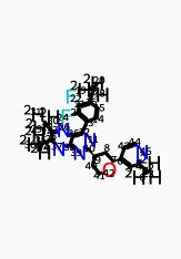 [2H]C([2H])([2H])c1cc([C@@H]2C[C@H](c3nc(-c4ccc(C([2H])([2H])[2H])c(F)c4F)c4nc(C([2H])([2H])[2H])c(C([2H])([2H])[2H])nc4n3)CCO2)ccn1